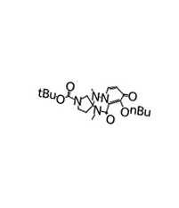 CCCCOc1c2n(ccc1=O)N(C)C1(CCN(C(=O)OC(C)(C)C)C1)N(C)C2=O